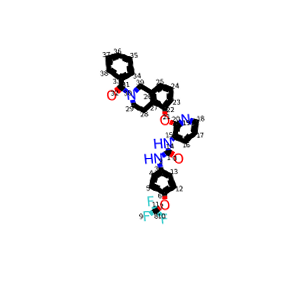 O=C(Nc1ccc(OC(F)(F)F)cc1)Nc1cccnc1Oc1cccc2c1CCN(C(=O)c1ccccc1)C2